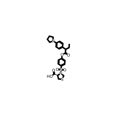 CCC(C(=O)Oc1ccc(S(=O)(=O)N2CSC[C@H]2C(=O)O)cc1)c1ccc(N2CCCC2)cc1